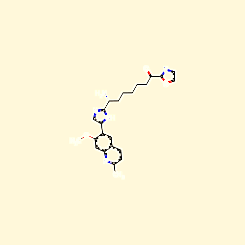 COc1cc2nc(C)ccc2cc1-c1cnc([C@@H](N)CCCCCC(=O)c2ncco2)[nH]1